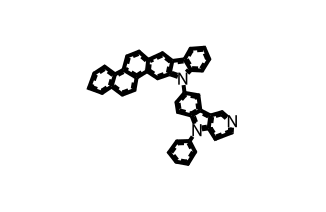 c1ccc(-n2c3ccncc3c3cc(-n4c5ccccc5c5cc6ccc7c8ccccc8ccc7c6cc54)ccc32)cc1